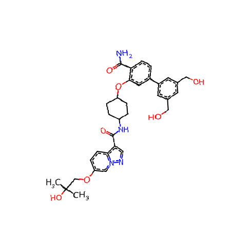 CC(C)(O)COc1ccc2c(C(=O)NC3CCC(Oc4cc(-c5cc(CO)cc(CO)c5)ccc4C(N)=O)CC3)cnn2c1